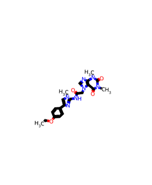 CCOc1ccc(-c2cn(C)c(NC(=O)Cn3cnc4c3c(=O)n(C)c(=O)n4C)n2)cc1